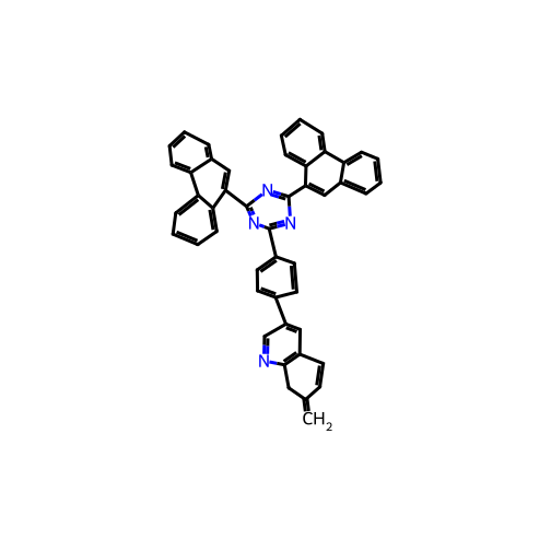 C=C1C=Cc2cc(-c3ccc(-c4nc(-c5cc6ccccc6c6ccccc56)nc(-c5cc6ccccc6c6ccccc56)n4)cc3)cnc2C1